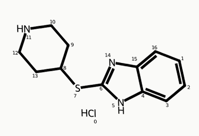 Cl.c1ccc2[nH]c(SC3CCNCC3)nc2c1